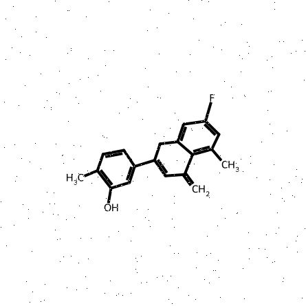 C=C1C=C(c2ccc(C)c(O)c2)Cc2cc(F)cc(C)c21